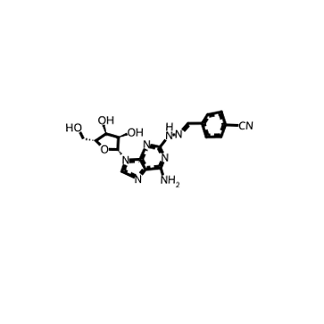 N#Cc1ccc(/C=N/Nc2nc(N)c3ncn([C@@H]4O[C@H](CO)[C@@H](O)[C@H]4O)c3n2)cc1